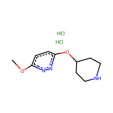 COc1ccc(OC2CCNCC2)nn1.Cl.Cl